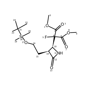 COC(=O)C(F)(C(=O)OC)[C@H]1NC(=O)[C@H]1CCO[Si](C)(C)C(C)(C)C